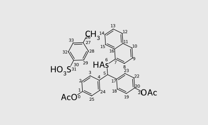 CC(=O)Oc1ccc(C([AsH]c2cccc3ccccc23)c2ccc(OC(C)=O)cc2)cc1.Cc1ccc(S(=O)(=O)O)cc1